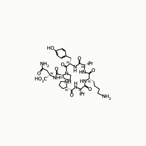 CC(C)[C@H](NC(=O)[C@@H]1CCCN1)C(=O)N[C@@H](CCCCN)C(=O)N[C@H](C(=O)N[C@@H](Cc1ccc(O)cc1)C(=O)N1CCC[C@H]1C(=O)N[C@@H](CC(N)=O)C(=O)O)C(C)C